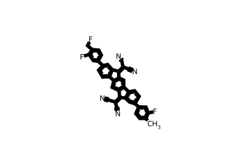 Cc1ccc(-c2ccc3c(c2)C(=C(C#N)C#N)c2cc4c(cc2-3)C(=C(C#N)C#N)c2cc(-c3ccc(CF)c(F)c3)ccc2-4)cc1F